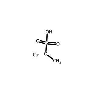 COS(=O)(=O)O.[Cu]